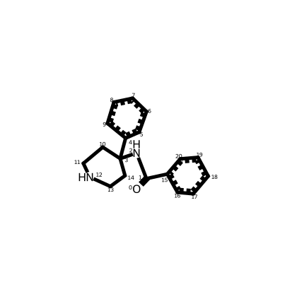 O=C(NC1(c2ccccc2)CCNCC1)c1ccccc1